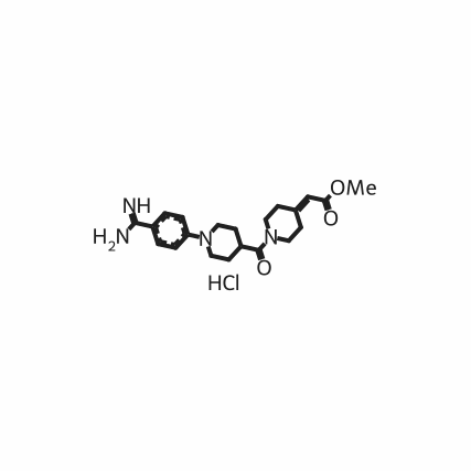 COC(=O)C=C1CCN(C(=O)C2CCN(c3ccc(C(=N)N)cc3)CC2)CC1.Cl